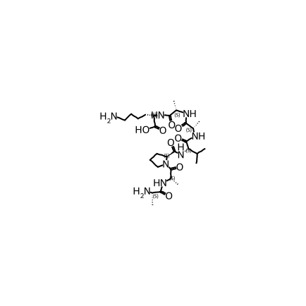 CC(C)[C@H](NC(=O)[C@@H]1CCCN1C(=O)[C@H](C)NC(=O)[C@H](C)N)C(=O)N[C@@H](C)C(=O)N[C@@H](C)C(=O)N[C@@H](CCCCN)C(=O)O